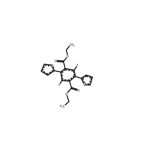 CCOC(=O)c1c(F)c(-c2cccs2)c(C(=O)OCC)c(F)c1-c1cccs1